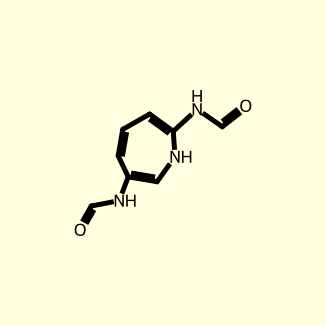 O=CNC1=CNC(NC=O)=CC=C1